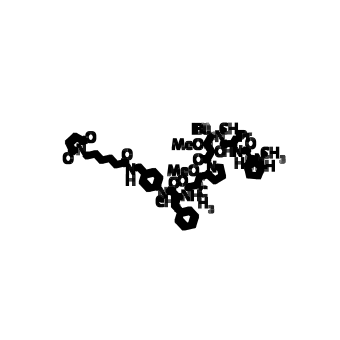 CC[C@H](C)[C@@H]([C@@H](CC(=O)N1CCCC1[C@H](OC)[C@@H](C)C(=O)NC(Cc1ccccc1)C(=O)N(C)c1ccc(CNC(=O)CCCCCN2C(=O)C=CC2=O)cc1)OC)N(C)C(=O)C(NC(=O)[C@@H]1[C@H]2CC[C@H](C2)N1C)C(C)C